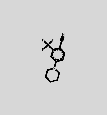 N#Cc1ccc(N2CCCCC2)cc1C(F)(F)F